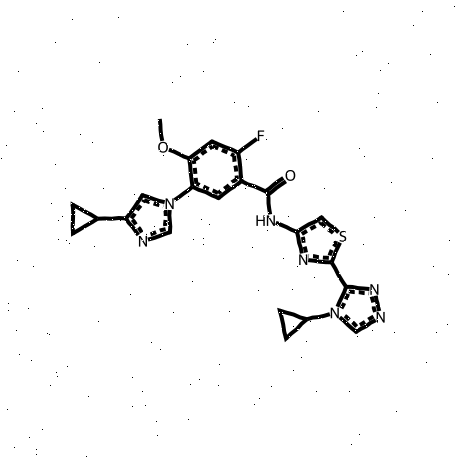 COc1cc(F)c(C(=O)Nc2csc(-c3nncn3C3CC3)n2)cc1-n1cnc(C2CC2)c1